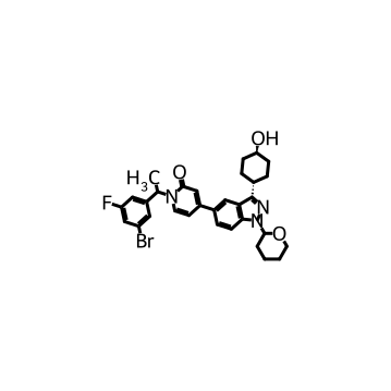 CC(c1cc(F)cc(Br)c1)n1ccc(-c2ccc3c(c2)c([C@H]2CC[C@H](O)CC2)nn3C2CCCCO2)cc1=O